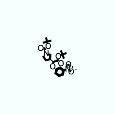 CC(C)(C)OC(=O)C(Oc1cccc([N+](=O)[O-])c1)[C@H]1CCN(C(=O)OC(C)(C)C)C1